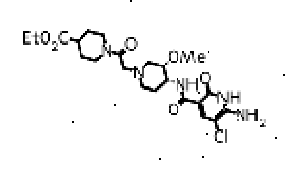 CCOC(=O)C1CCN(C(=O)CN2CC[C@@H](NC(=O)c3cc(Cl)c(N)[nH]c3=O)[C@@H](OC)C2)CC1